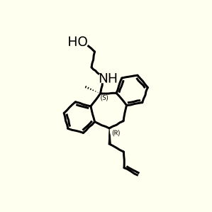 C=CCC[C@@H]1Cc2ccccc2[C@](C)(NCCO)c2ccccc21